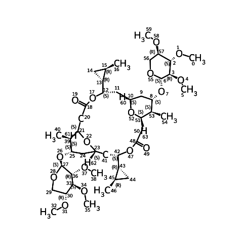 CO[C@@H]1[C@@H](OC)[C@H](O[C@H]2C[C@H]3C[C@@H]([C@@H]4C[C@H]4C)OC(=O)C[C@@H]4O[C@@H](C[C@H](O[C@@H]5OC[C@@H](OC)[C@H](OC)[C@H]5OC)[C@H]4C)C[C@@H]([C@@H]4C[C@H]4C)OC(=O)C[C@H](O3)[C@@H]2C)OC[C@H]1OC